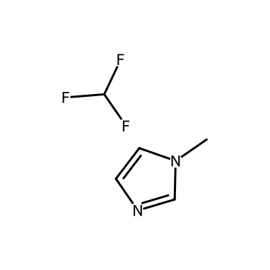 Cn1ccnc1.FC(F)F